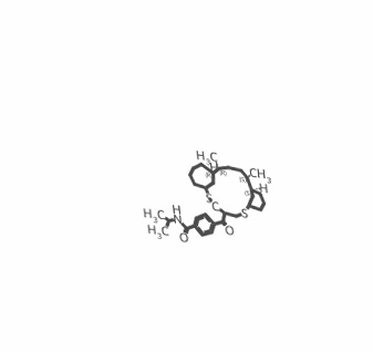 CC(C)NC(=O)c1ccc(C(=O)C2CSC3CCCC[C@H](C3)[C@H](C)CC[C@H](C)[C@H]3CCCC(C3)SC2)cc1